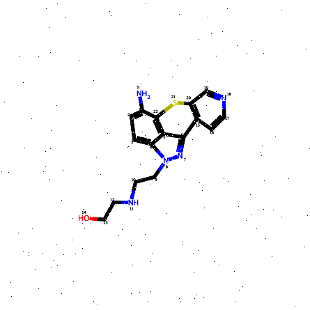 Nc1ccc2c3c(nn2CCNCCO)-c2ccncc2Sc13